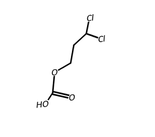 O=C(O)OCCC(Cl)Cl